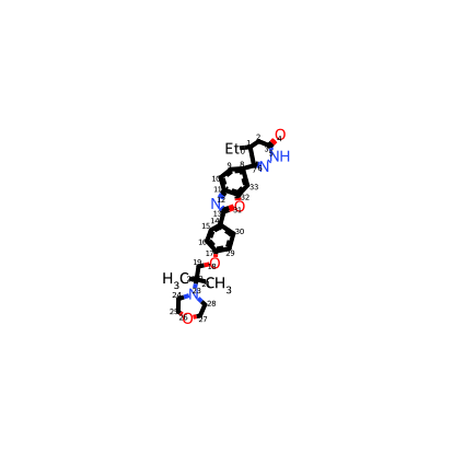 CCC1CC(=O)NN=C1c1ccc2nc(-c3ccc(OCC(C)(C)N4CCOCC4)cc3)oc2c1